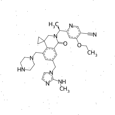 CCOc1cc([C@H](C)N2CC3(CC3)c3c(CN4CCNCC4)cc(Cn4ccnc4NC)cc3C2=O)ncc1C#N